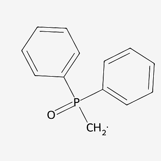 [CH2]P(=O)(c1ccccc1)c1ccccc1